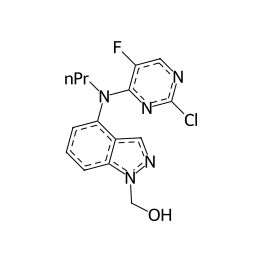 CCCN(c1nc(Cl)ncc1F)c1cccc2c1cnn2CO